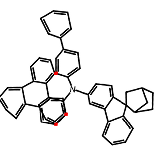 c1ccc(-c2ccc(N(c3ccc4c(c3)-c3ccccc3C43CC4CCC3C4)c3ccccc3-c3ccccc3-c3ccccc3-c3ccccc3)cc2)cc1